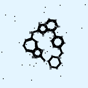 Cc1nc2c([nH]1)=CCC=C(Nc1nc3c(-c4ccc(CN5CCOCC5)cc4)nccn3n1)C=2